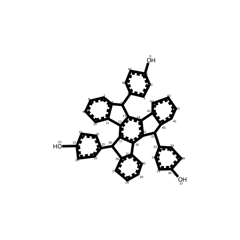 Oc1ccc(C2c3ccccc3-c3c2c2c(c4c3C(c3ccc(O)cc3)c3ccccc3-4)C(c3ccc(O)cc3)c3ccccc3-2)cc1